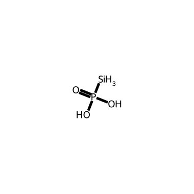 O=P(O)(O)[SiH3]